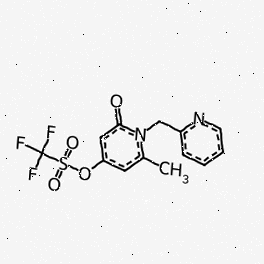 Cc1cc(OS(=O)(=O)C(F)(F)F)cc(=O)n1Cc1ccccn1